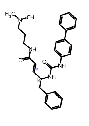 CN(C)CCCNC(=O)/C=C/[C@H](Cc1ccccc1)NC(=O)Nc1ccc(-c2ccccc2)cc1